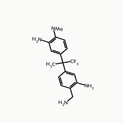 CNc1ccc(C(C)(c2ccc(CN)c(N)c2)C(F)(F)F)cc1N